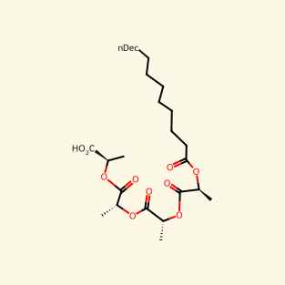 CCCCCCCCCCCCCCCCCC(=O)O[C@@H](C)C(=O)O[C@H](C)C(=O)O[C@H](C)C(=O)O[C@H](C)C(=O)O